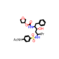 CC(=O)Nc1ccc(S(=O)(=O)NC(C[C@H](O)C(Cc2ccccc2)NC(=O)O[C@H]2CCOC2)C(C)C)cc1